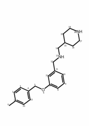 Cc1ccc(COc2cccc(CNCC3CCNCC3)c2)cc1